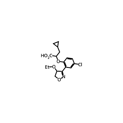 CCOC1CON=C1c1cc(Cl)ccc1OC(CC1CC1)C(=O)O